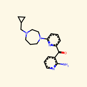 Nc1ncccc1C(=O)c1cccc(N2CCCN(CC3CC3)CC2)n1